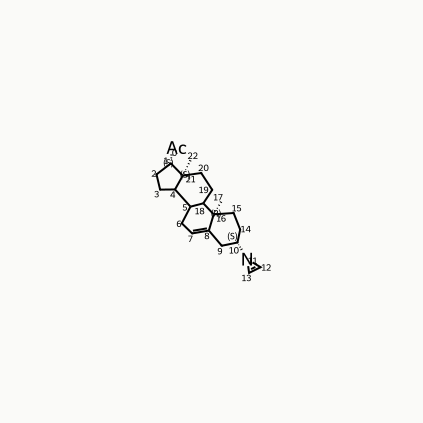 CC(=O)[C@H]1CCC2C3CC=C4C[C@@H](N5C=C5)CC[C@]4(C)C3CC[C@@]21C